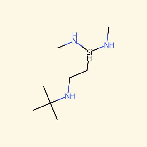 CN[SiH](CCNC(C)(C)C)NC